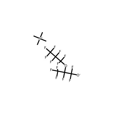 C[N+](C)(C)C.[O-]C(F)(F)C(F)(OC(F)(F)C(F)(F)C(F)(F)F)C(F)(F)F